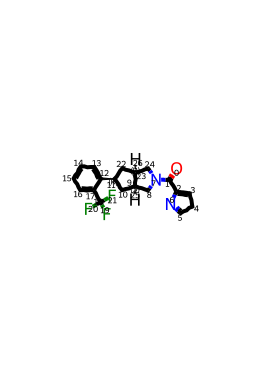 O=C(C1=CCC=N1)N1C[C@H]2C[C@@H](c3ccccc3C(F)(F)F)C[C@H]2C1